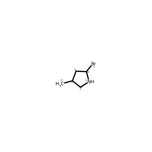 CC1[CH]NC(Br)C1